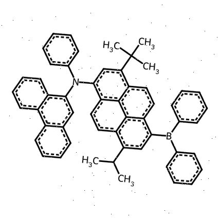 CC(C)c1cc(B(c2ccccc2)c2ccccc2)c2ccc3c(C(C)(C)C)cc(N(c4ccccc4)c4cc5ccccc5c5ccccc45)c4ccc1c2c43